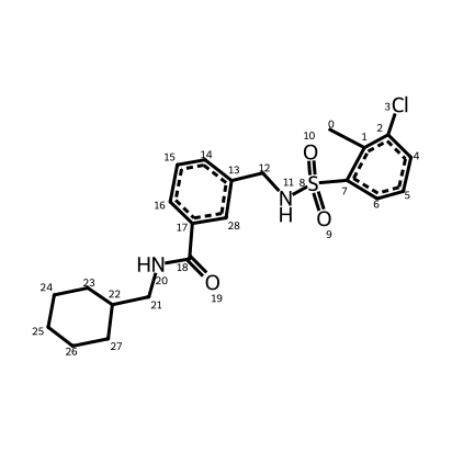 Cc1c(Cl)cccc1S(=O)(=O)NCc1cccc(C(=O)NCC2CCCCC2)c1